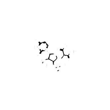 COC1C(O[PH](=O)S)[C@@H](CC(C(=O)O)C(=O)O)O[C@H]1n1ccc(=O)[nH]c1=O